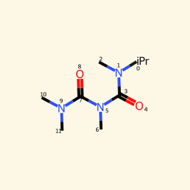 CC(C)N(C)C(=O)N(C)C(=O)N(C)C